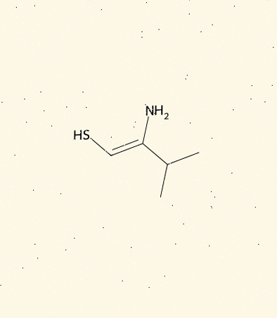 CC(C)/C(N)=C/S